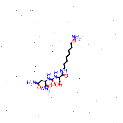 NOCCCCCCCCNC(=O)[C@@H](CO)NC(=O)N[C@H](CC(N)=O)C(N)=O